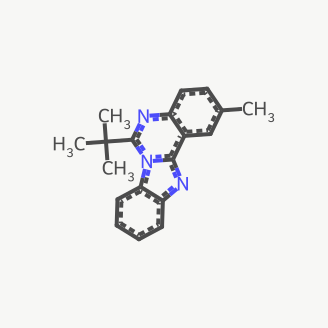 Cc1ccc2nc(C(C)(C)C)n3c4ccccc4nc3c2c1